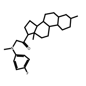 CC1CCC2C(CCC3C2CCC2(C)C(C(=O)CN(C)c4ccc(F)cc4)CCC32)C1